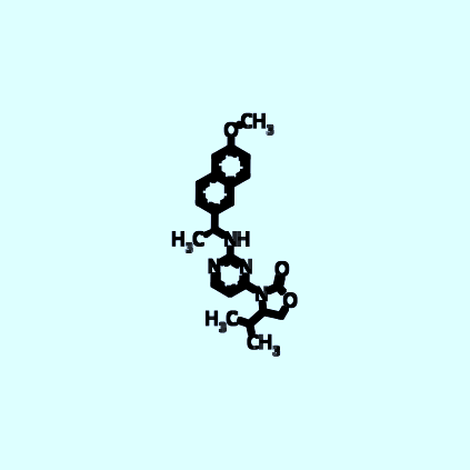 COc1ccc2cc([C@H](C)Nc3nccc(N4C(=O)OCC4C(C)C)n3)ccc2c1